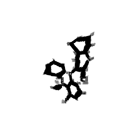 C[SiH](c1ccccc1)c1c(F)cccc1Oc1cc2ccccc2nc1Cl